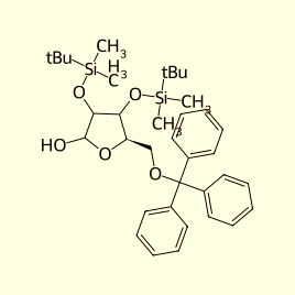 CC(C)(C)[Si](C)(C)OC1C(O)O[C@H](COC(c2ccccc2)(c2ccccc2)c2ccccc2)C1O[Si](C)(C)C(C)(C)C